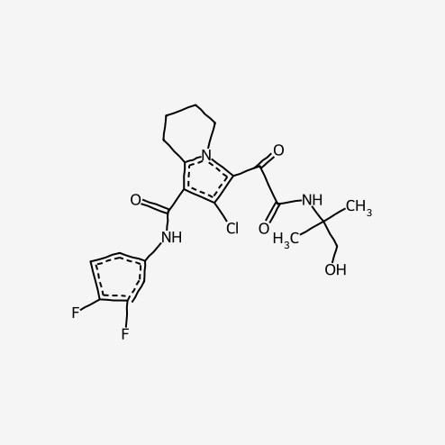 CC(C)(CO)NC(=O)C(=O)c1c(Cl)c(C(=O)Nc2ccc(F)c(F)c2)c2n1CCCC2